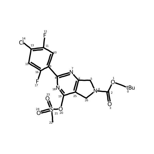 CC(C)(C)OC(=O)N1Cc2nc(-c3cc(F)c(Cl)cc3F)nc(OS(C)(=O)=O)c2C1